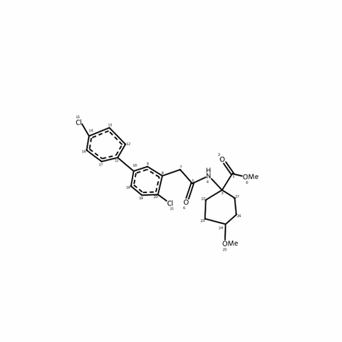 COC(=O)C1(NC(=O)Cc2cc(-c3ccc(Cl)cc3)ccc2Cl)CCC(OC)CC1